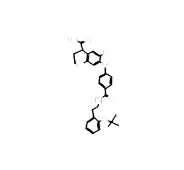 CC(C)(C)Oc1ccccc1CCNC(=O)c1ccc(Oc2cc3c(cc2Cl)C(C(=O)O)CCO3)cc1